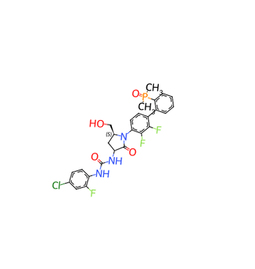 CP(C)(=O)c1ccccc1-c1ccc(N2C(=O)C(NC(=O)Nc3ccc(Cl)cc3F)C[C@H]2CO)c(F)c1F